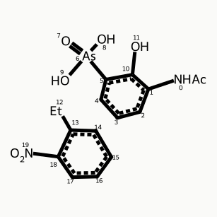 CC(=O)Nc1cccc([As](=O)(O)O)c1O.CCc1ccccc1[N+](=O)[O-]